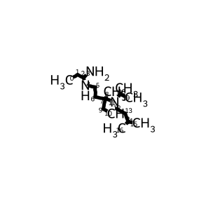 CCC(N)NCCC(C)(CC)N(CCC(C)C)C(C)C